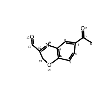 CC(=O)c1ccc2c(c1)N=C(C=O)CO2